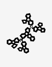 c1ccc2c(c1)CC1(C2)c2cc(N(c3ccc4c(c3)C3(CCCC3)c3ccccc3-4)c3ccc4c(c3)C3(CCCC3)c3ccccc3-4)ccc2-c2ccc(N(c3ccc4c(c3)C3(CCCC3)c3ccccc3-4)c3ccc4c(c3)C3(CCCC3)c3ccccc3-4)cc21